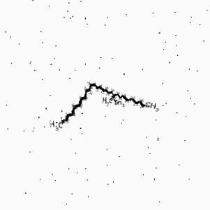 CCCCCCCCCCC/C=C\CCCCCC[C@@H](CCCCCCCCC)N(C)C